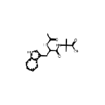 CC(=O)NC(Cc1c[nH]c2ccccc12)C(=O)NC(C)(C)C(=O)O